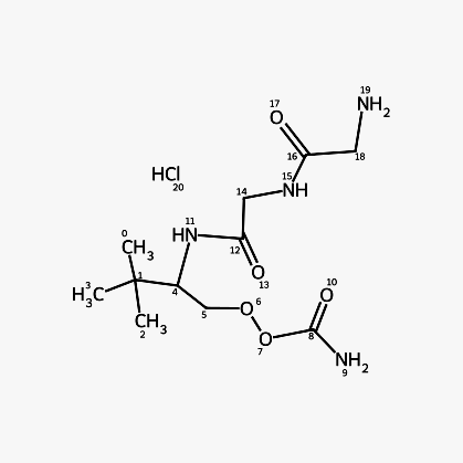 CC(C)(C)C(COOC(N)=O)NC(=O)CNC(=O)CN.Cl